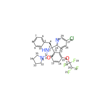 O=C(N[C@@](Cc1ccccc1)(c1cccc(OC(F)(F)C(F)F)c1)c1ccc(Cl)cn1)N1CCCC1